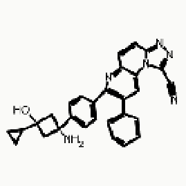 N#Cc1nnc2ccc3nc(-c4ccc([C@]5(N)C[C@@](O)(C6CC6)C5)cc4)c(-c4ccccc4)cc3n12